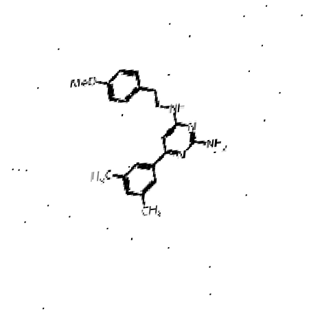 COc1ccc(CCNc2cc(-c3cc(C)cc(C)c3)nc(N)n2)cc1